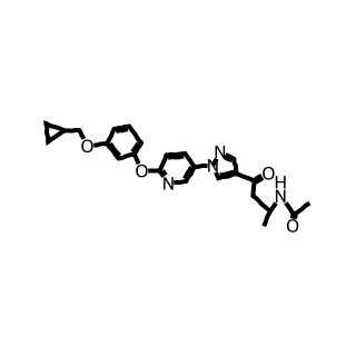 CC(=O)NC(C)CC(=O)c1cnn(-c2ccc(Oc3cccc(OCC4CC4)c3)nc2)c1